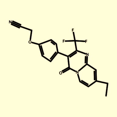 CCc1ccn2c(=O)c(-c3ccc(OCC#N)cc3)c(C(F)(F)F)nc2c1